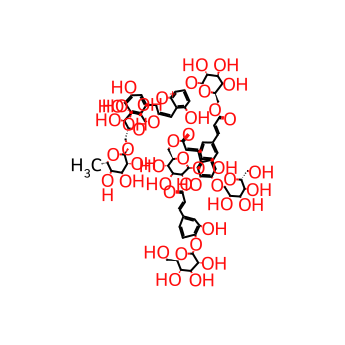 C[C@@H]1O[C@@H](OC[C@H]2O[C@@H](Oc3cc4c(O)cc(O[C@@H]5O[C@H](COC(=O)/C=C/c6ccc(O[C@@H]7O[C@H](COC(=O)/C=C/c8ccc(O[C@@H]9O[C@H](CO)[C@@H](O)[C@H](O)[C@H]9O)c(O)c8)[C@@H](O)[C@H](O)[C@H]7OC(=O)/C=C/c7ccc(O[C@@H]8O[C@H](CO)[C@@H](O)[C@H](O)[C@H]8O)c(O)c7)c(O)c6)[C@@H](O)[C@H](O)[C@H]5O)cc4[o+]c3-c3cc(O)c(O)c(O)c3)[C@H](O)[C@@H](O)[C@@H]2O)[C@H](O)[C@H](O)[C@H]1O